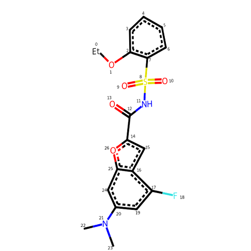 CCOc1ccccc1S(=O)(=O)NC(=O)c1cc2c(F)cc(N(C)C)cc2o1